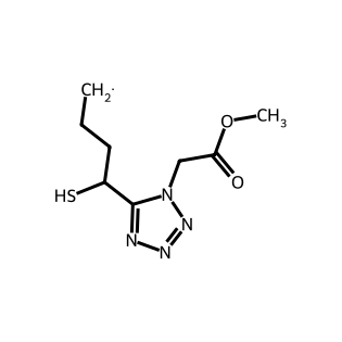 [CH2]CCC(S)c1nnnn1CC(=O)OC